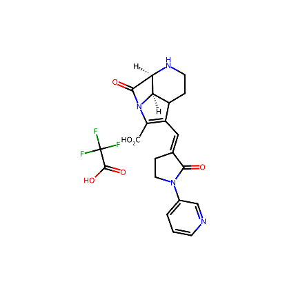 O=C(O)C(F)(F)F.O=C(O)C1=C(/C=C2\CCN(c3cccnc3)C2=O)C2CCN[C@@H]3C(=O)N1[C@H]23